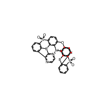 O=S1(=O)c2cccc3c2B2c4c1ccc1c4[N+]4(c5c(ccc6c5B5c7c(cccc7S6(=O)=O)-c6ncc[n+]4c65)O1)[n+]1ccnc-3c12